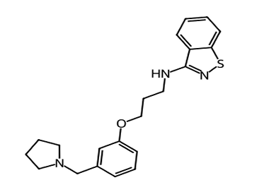 c1cc(CN2CCCC2)cc(OCCCNc2nsc3ccccc23)c1